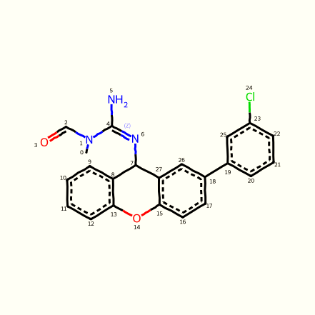 CN(C=O)/C(N)=N\C1c2ccccc2Oc2ccc(-c3cccc(Cl)c3)cc21